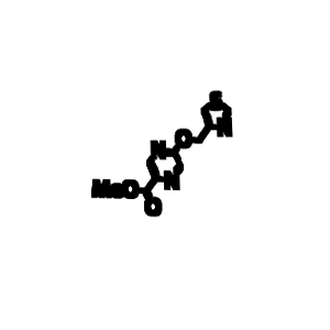 COC(=O)c1cnc(OCc2cscn2)cn1